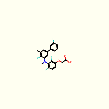 Cc1cc(-c2cccc(F)c2)cc(N(C)c2c(F)ccc(OCC(=O)O)c2F)c1F